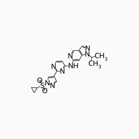 CC(C)n1ncc2cnc(Nc3ccnc(-c4cnn(S(=O)(=O)C5CC5)c4)n3)cc21